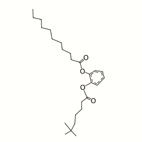 CCCCCCCCCCC(=O)Oc1ccccc1OC(=O)CCCCC(C)(C)C